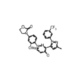 COc1cc(N2CCOC2=O)ccc1-n1ccc(=O)c(-c2cc(C)nn2-c2cccc(C(F)(F)F)c2)n1